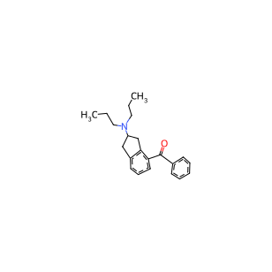 CCCN(CCC)C1Cc2cccc(C(=O)c3ccccc3)c2C1